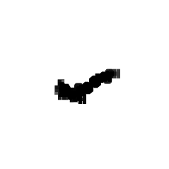 O=C(O)CC1CC2(CCC(c3ccc(NC(=O)c4nnc(Nc5ccc(F)c(F)c5)o4)cc3)CC2)C1